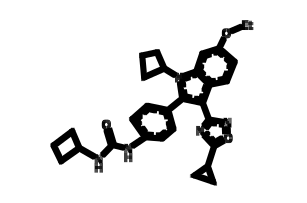 CCOc1ccc2c(-c3noc(C4CC4)n3)c(-c3ccc(NC(=O)NC4CCC4)cc3)n(C3CCC3)c2c1